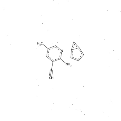 C#Cc1cc(C)cnc1N.c1cc2cc-2c1